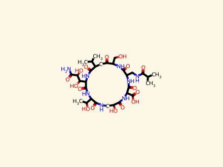 CC(C)C(=O)NCC1NC(=O)C(C(=O)O)NC(=O)C(O)CNC(=O)C(C(C)O)NC(=O)C(C(O)C(O)C(N)=O)NC(=O)C(C(C)C)CC(=O)C(CO)NC1=O